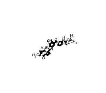 CCOC(=O)c1ccc(-c2nc3cc(C(=O)N4CCCC(NC(=O)OC(C)(C)C)C4)cc(OC)c3n2C)n1CC1CC1